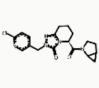 O=C([C@@H]1CCCc2nn(Cc3ccc(Cl)nc3)c(=O)n21)N1CCC2CC21